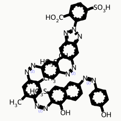 Cc1cc(/N=N\c2c(S(=O)(=O)O)cc3cc(/N=N\c4ccc(O)cc4)ccc3c2O)c(C)cc1/N=N\c1ccc(/N=N\c2cc3nn(-c4cc(S(=O)(=O)O)ccc4C(=O)O)nc3cc2S(=O)(=O)O)c(C)c1